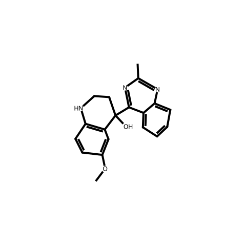 COc1ccc2c(c1)C(O)(c1nc(C)nc3ccccc13)CCN2